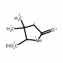 CCOC(=O)C1NC(=O)CC1(C)C